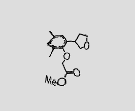 COC(=O)COc1c(C)cc(C)cc1C1CCOC1